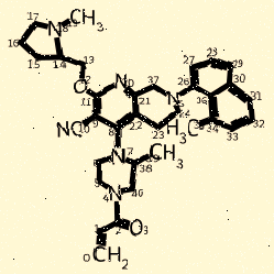 C=CC(=O)N1CCN(c2c(C#N)c(OCC3CCCN3C)nc3c2CCN(c2cccc4cccc(C)c24)C3)C(C)C1